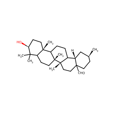 C[C@H]1CCC2(C=O)CC[C@@]3(C)C(CCC4[C@@]5(C)CC[C@H](O)C(C)(C)C5CC[C@]43C)[C@@H]2C1